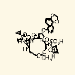 C[C@H]1CC/C=C\[C@@H]2C[C@@]2(C(=O)NS(=O)(=O)C2CC2)NC(=O)[C@@H]2C[C@@H](Oc3nccc4c5c(ccc34)OCCO5)CN2C(=O)[C@@H](N(C(=O)O)[C@H]2CC3C[C@H]3C2)[C@H](C)C1